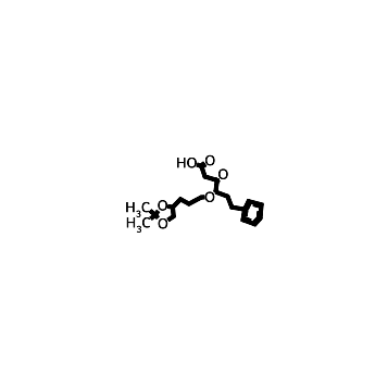 CC1(C)OCC(CCCOC(CCc2ccccc2)C(=O)CC(=O)O)O1